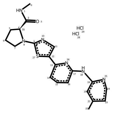 CNC(=O)[C@@H]1CCCN1c1ncc(-c2cccc(Nc3cc(C)ccn3)n2)s1.Cl.Cl